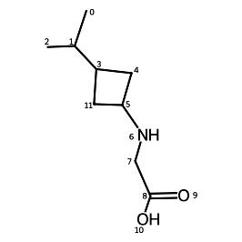 CC(C)C1CC(NCC(=O)O)C1